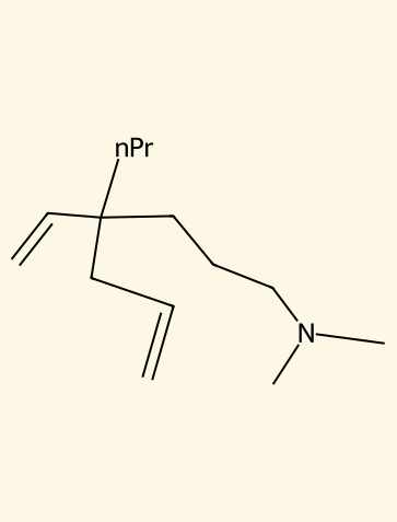 C=CCC(C=C)(CCC)CCCN(C)C